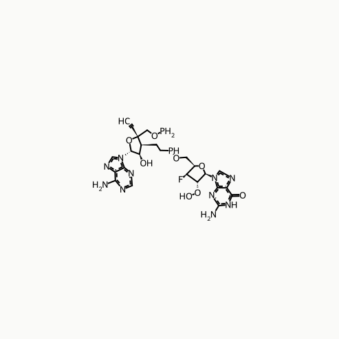 C#C[C@]1(COP)O[C@@H](n2cnc3c(N)ncnc32)[C@H](O)[C@@H]1CCPOC[C@H]1O[C@@H](n2cnc3c(=O)[nH]c(N)nc32)[C@H](OO)[C@H]1F